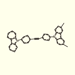 Cc1ccc2c(c1)c1cc(C)ccc1n2-c1ccc(C#Cc2ccc(-n3c4ccccc4c4ccccc43)cc2)cc1